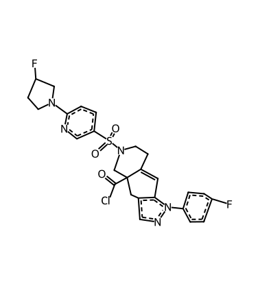 O=C(Cl)C12Cc3cnn(-c4ccc(F)cc4)c3C=C1CCN(S(=O)(=O)c1ccc(N3CCC(F)C3)nc1)C2